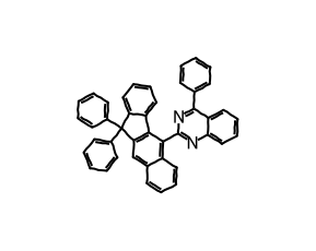 c1ccc(-c2nc(-c3c4c(cc5ccccc35)C(c3ccccc3)(c3ccccc3)c3ccccc3-4)nc3ccccc23)cc1